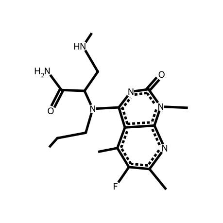 CCCN(c1nc(=O)n(C)c2nc(C)c(F)c(C)c12)C(CNC)C(N)=O